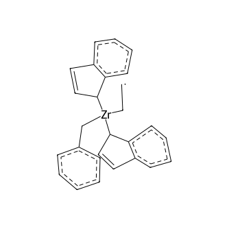 [CH2][CH2][Zr]([CH2]c1ccccc1)([CH]1C=Cc2ccccc21)[CH]1C=Cc2ccccc21